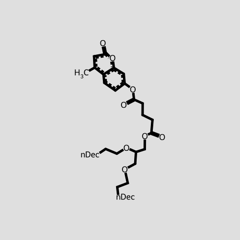 CCCCCCCCCCCCOCC(COC(=O)CCCC(=O)Oc1ccc2c(C)cc(=O)oc2c1)OCCCCCCCCCCCC